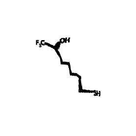 OC(CCCCCS)C(F)(F)F